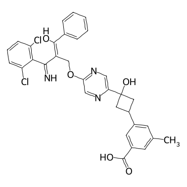 Cc1cc(C(=O)O)cc(C2CC(O)(c3cnc(OC/C(C(=N)c4c(Cl)cccc4Cl)=C(/O)c4ccccc4)cn3)C2)c1